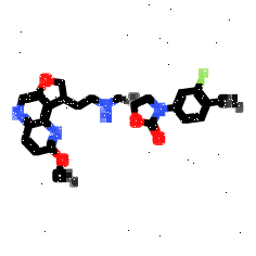 COc1ccc2ncc3c(c2n1)C(CCNC[C@@H]1CN(c2ccc(C)c(F)c2)C(=O)O1)CO3